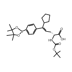 CC(C)(C)OC(=O)N[C@H](C/C=C(/c1ccc(B2OC(C)(C)C(C)(C)O2)cc1)C1CCCC1)C(=O)O